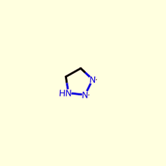 C1CN[N][N]1